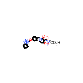 O=C(O)CNC(=O)C1=C(O)CCN(Cc2ccc(OCn3nnc4ccccc43)cc2)C1=O